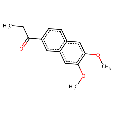 CCC(=O)c1ccc2cc(OC)c(OC)cc2c1